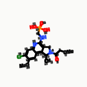 COCC(=O)N1Cc2c(NCP(=O)(O)O)nc3cc(Cl)c(OC)cc3c2[C@@H]1C